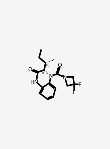 CC[C@H](C)[C@H]1C(=O)Nc2ccccc2N1C(=O)N1CC(F)(F)C1